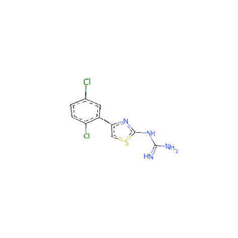 N=C(N)Nc1nc(-c2cc(Cl)ccc2Cl)cs1